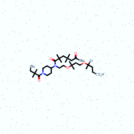 CCC(C)(CCC(=O)O)OCCC(C)(C)OCCN(C(=O)C(C)(C)CC(C)(C)CC(=O)C(C)(C)C)C1CCN(C(=O)C(C)(C)CC(C)(C)C)CC1